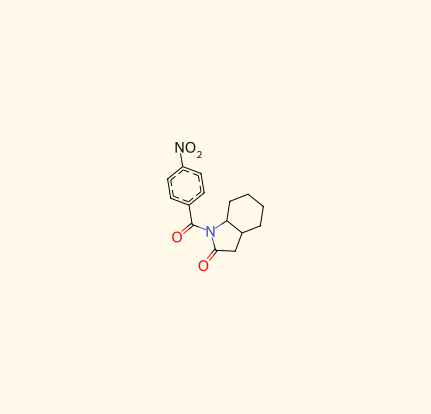 O=C1CC2CCCCC2N1C(=O)c1ccc([N+](=O)[O-])cc1